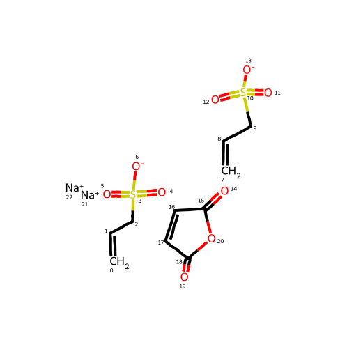 C=CCS(=O)(=O)[O-].C=CCS(=O)(=O)[O-].O=C1C=CC(=O)O1.[Na+].[Na+]